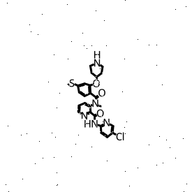 CSc1ccc(C(=O)N(C)c2cccnc2C(=O)Nc2ccc(Cl)cn2)c(OC2CCNCC2)c1